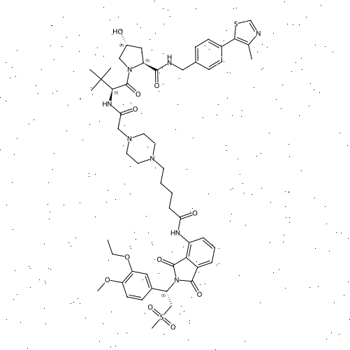 CCOc1cc([C@@H](CS(C)(=O)=O)N2C(=O)c3cccc(NC(=O)CCCCN4CCN(CC(=O)N[C@H](C(=O)N5C[C@H](O)C[C@H]5C(=O)NCc5ccc(-c6scnc6C)cc5)C(C)(C)C)CC4)c3C2=O)ccc1OC